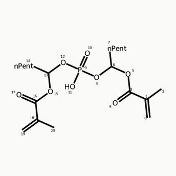 C=C(C)C(=O)OC(CCCCC)OP(=O)(O)OC(CCCCC)OC(=O)C(=C)C